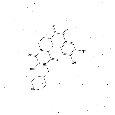 C=C(C(=O)N1CCN(C(=O)OC(C)(C)C)C(C(=O)NCC2CCNCC2)C1)c1ccc(S)c([N+](=O)[O-])c1